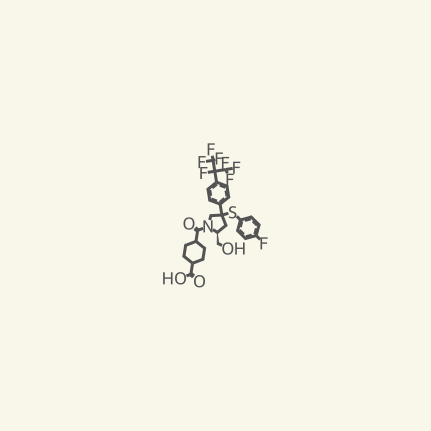 O=C(O)C1CCC(C(=O)N2CC(Sc3ccc(F)cc3)(c3ccc(C(F)(C(F)(F)F)C(F)(F)F)cc3)C[C@H]2CO)CC1